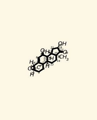 C[C@]12CC[C@H]3O[C@H]3C1=CC(=O)[C@@H]1[C@@H]2CC[C@]2(C)C(=O)[C@H](O)C[C@@H]12